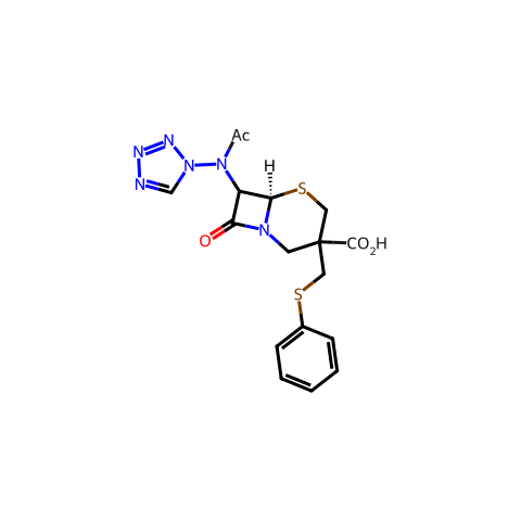 CC(=O)N(C1C(=O)N2CC(CSc3ccccc3)(C(=O)O)CS[C@H]12)n1cnnn1